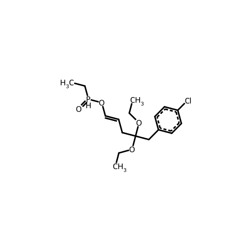 CCOC(CC=CO[PH](=O)CC)(Cc1ccc(Cl)cc1)OCC